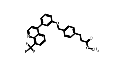 COC(=O)CCc1ccc(COc2cccc(-c3ccnc4c(C(F)(F)F)cccc34)c2)cc1